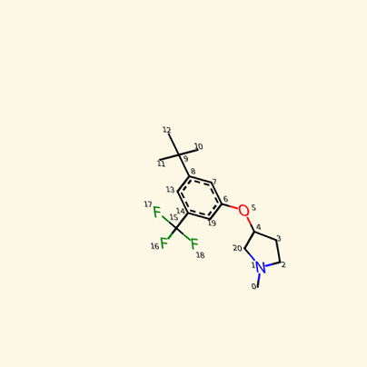 CN1CCC(Oc2cc(C(C)(C)C)cc(C(F)(F)F)c2)C1